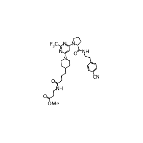 COC(=O)CCNC(=O)CCCC1CCN(c2cc(N3CCC[C@H]3C(=O)NCCc3ccc(C#N)cc3)nc(C(F)(F)F)n2)CC1